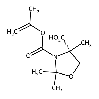 C=C(C)OC(=O)N1C(C)(C)OC[C@@]1(C)C(=O)O